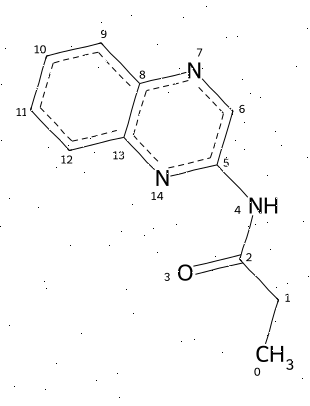 CCC(=O)Nc1cnc2ccccc2n1